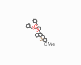 COc1ccc(Cc2cc(C3CCCC(COCc4ccccc4)(OCc4ccccc4)O3)c3c(c2Br)CCC3)cc1